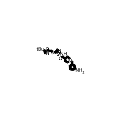 CC(C)(C)c1cnc(CSc2cnc(NC(=O)C3CCN(Cc4cccc(N)c4)CC3)s2)o1